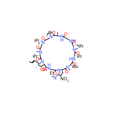 C/C=C/C[C@@H](C)[C@@H](O)[C@H]1C(=O)N[C@@H](CC)C(=O)N(C)[C@H](CC(CN(C)C)[N+](=O)[O-])C(=O)N(C)[C@@H](C(C)CC)C(=O)N[C@@H](C(C)C)C(=O)N(C)[C@@H](CC(C)C)C(=O)N[C@@H](C)C(=O)N[C@H](C)C(=O)N(C)[C@@H](CC(C)C)C(=O)N(C)[C@@H](CC(C)C)C(=O)N(C)[C@@H](C(C)C)C(=O)N1C